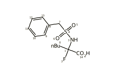 CCCCC(F)(NS(=O)(=O)Cc1ccccc1)C(=O)O